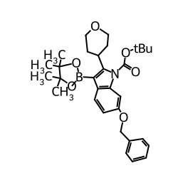 CC(C)(C)OC(=O)n1c(C2CCOCC2)c(B2OC(C)(C)C(C)(C)O2)c2ccc(OCc3ccccc3)cc21